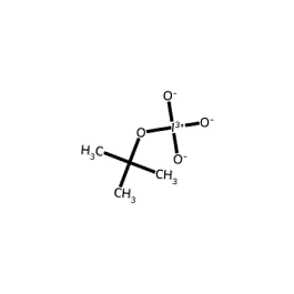 CC(C)(C)O[I+3]([O-])([O-])[O-]